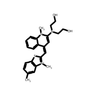 Cc1ccc2sc(/C=C3/C=C(N(CCO)CCO)N(C)c4ccccc43)[n+](C)c2c1